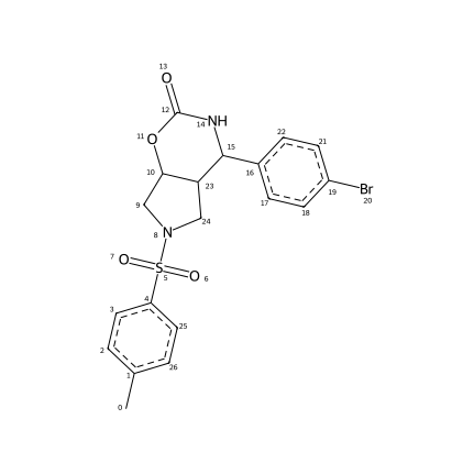 Cc1ccc(S(=O)(=O)N2CC3OC(=O)NC(c4ccc(Br)cc4)C3C2)cc1